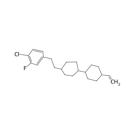 C=CC1CCC(C2CCC(CCc3ccc(Cl)c(F)c3)CC2)CC1